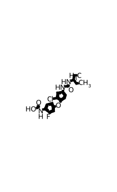 CCC(CC)NC(=O)Nc1ccc(Oc2ccc(NC(=O)O)c(F)c2)c(Cl)c1